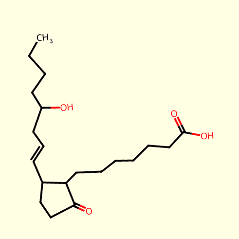 CCCCC(O)CC=CC1CCC(=O)C1CCCCCCC(=O)O